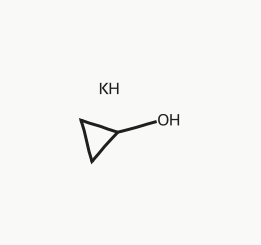 OC1CC1.[KH]